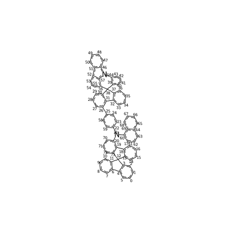 c1ccc2c(c1)-c1ccccc1C21c2ccccc2-c2c(N(c3ccc(-c4cccc5c4-c4ccccc4C54c5ccccc5-n5c6ccccc6c6cccc4c65)cc3)c3cccc4ccccc34)cccc21